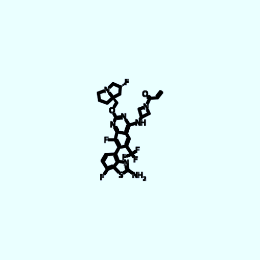 C=CC(=O)N1CC(Nc2nc(OC[C@@]34CCCN3C[C@H](F)C4)nc3c(F)c(-c4ccc(F)c5sc(N)nc45)c(C(F)(F)F)cc23)C1